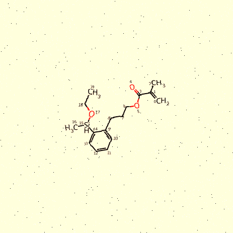 C=C(C)C(=O)OCCCc1ccccc1[SiH](C)OCC